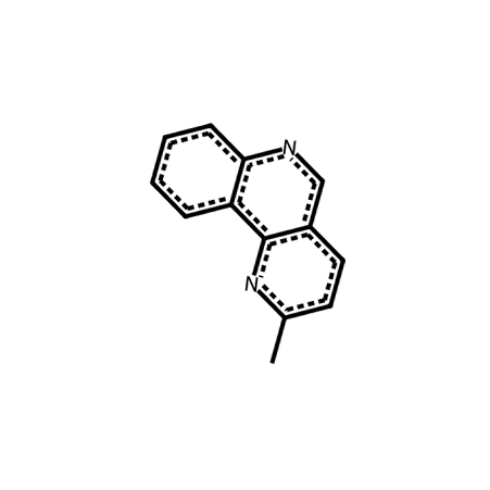 Cc1ccc2cnc3ccccc3c2n1